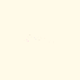 CCCCOc1ccc(N=Cc2cccc([N+](=O)[O-])c2)cc1